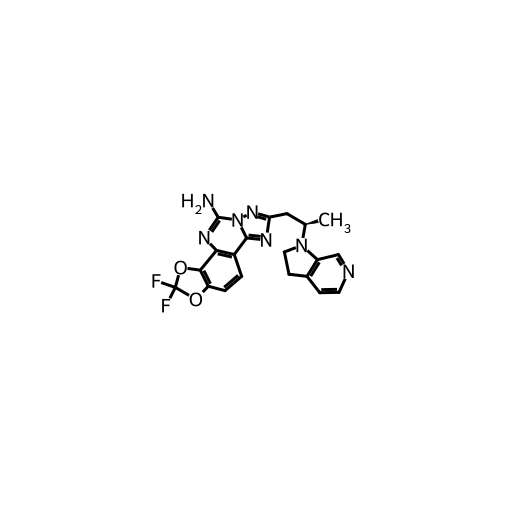 C[C@H](Cc1nc2c3ccc4c(c3nc(N)n2n1)OC(F)(F)O4)N1CCc2ccncc21